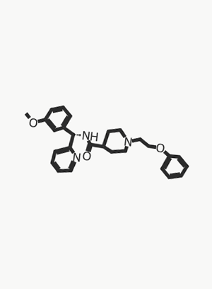 COc1cccc([C@H](NC(=O)C2CCN(CCOc3ccccc3)CC2)c2ccccn2)c1